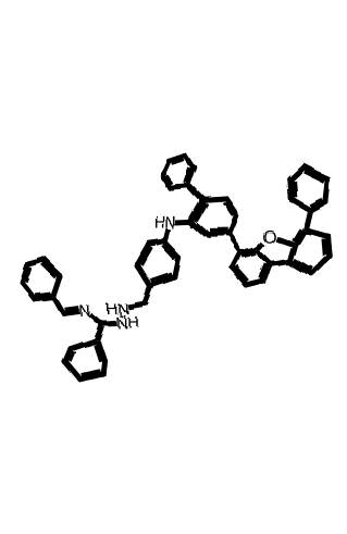 C(=N\C(NNCc1ccc(Nc2cc(-c3cccc4c3oc3c(-c5ccccc5)cccc34)ccc2-c2ccccc2)cc1)c1ccccc1)/c1ccccc1